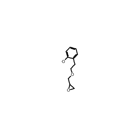 [O]c1ccccc1CCOCC1CO1